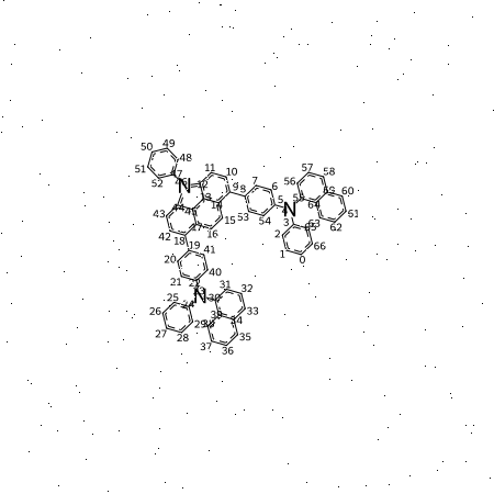 c1ccc(N(c2ccc(-c3ccc4c5c3ccc3c(-c6ccc(N(c7ccccc7)c7cccc8ccccc78)cc6)ccc(c35)n4-c3ccccc3)cc2)c2cccc3ccccc23)cc1